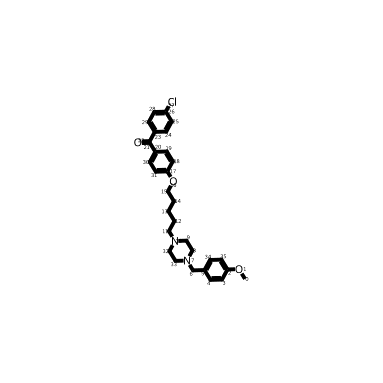 COc1ccc(CN2CCN(CCCCCOc3ccc(C(=O)c4ccc(Cl)cc4)cc3)CC2)cc1